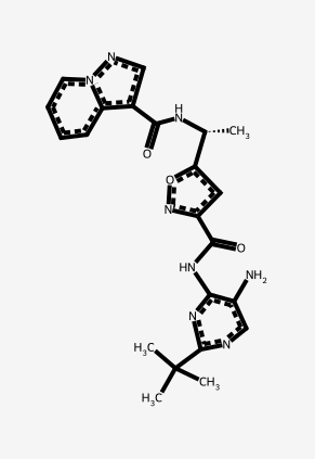 C[C@@H](NC(=O)c1cnn2ccccc12)c1cc(C(=O)Nc2nc(C(C)(C)C)ncc2N)no1